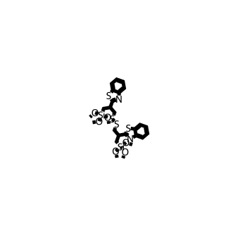 CO[Si](CC(CSSCC(C[Si](OC)(OC)OC)c1nc2ccccc2s1)c1nc2ccccc2s1)(OC)OC